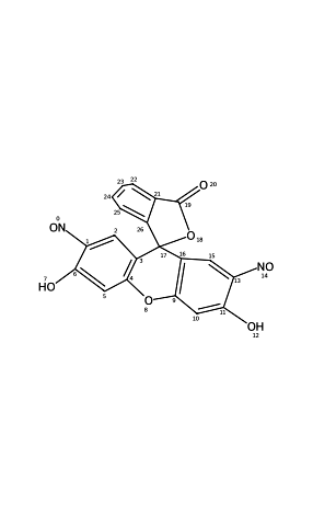 O=Nc1cc2c(cc1O)Oc1cc(O)c(N=O)cc1C21OC(=O)c2ccccc21